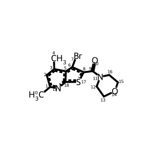 Cc1cc(C)c2c(Br)c(C(=O)N3CCOCC3)sc2n1